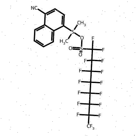 CS(C)(OS(=O)(=O)C(F)(F)C(F)(F)C(F)(F)C(F)(F)C(F)(F)C(F)(F)C(F)(F)C(F)(F)F)c1ccc(C#N)c2ccccc12